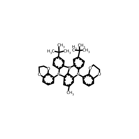 Cc1cc2c3c(c1)N(c1cccc4c1OCCO4)c1ccc(C(C)(C)C)cc1B3c1cc(C(C)(C)C)ccc1N2c1cccc2c1OCCO2